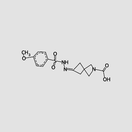 COc1ccc(S(=O)(=O)NN=C2CC3(C2)CN(C(=O)O)C3)cc1